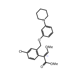 CO/C=C(/C(=O)OC)c1ccc(Cl)cc1COc1cccc(N2CCCCC2)c1